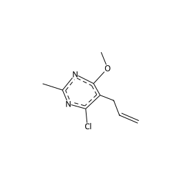 C=CCc1c(Cl)nc(C)nc1OC